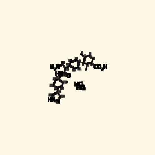 Cc1ccc(C(=O)O)c(C)c1-c1ccc(C(CN)C(=O)Nc2ccc(-c3cn[nH]c3)cc2)cc1.Cl.Cl